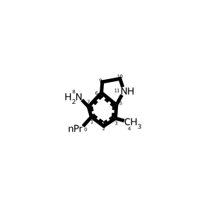 CCCc1cc(C)c2c(c1N)CCN2